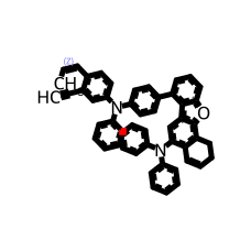 C#Cc1cc(N(c2ccccc2)c2ccc(-c3cccc4oc5c6c(c(N(c7ccccc7)c7ccccc7)cc5c34)C=CCC6)cc2)ccc1/C=C\C